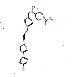 CN(Cc1ccc(CCC#Cc2ccc(-c3ccc(Cl)cc3)cn2)cc1)C1CCN(C(=O)OC(C)(C)C)CC1